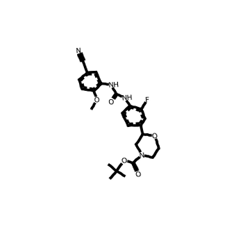 COc1ccc(C#N)cc1NC(=O)Nc1ccc(C2CN(C(=O)OC(C)(C)C)CCO2)cc1F